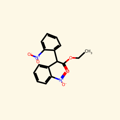 CCOC(=O)C(c1ccccc1[N+](=O)[O-])c1ccccc1[N+](=O)[O-]